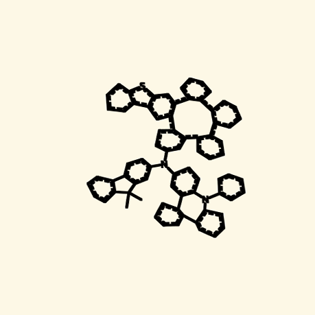 CC1(C)c2ccccc2-c2ccc(N(c3ccc4c(c3)-c3ccccc3-c3ccccc3N4c3ccccc3)c3ccc4c(c3)c3ccccc3c3ccccc3c3ccccc3c3cc5sc6ccccc6c5cc43)cc21